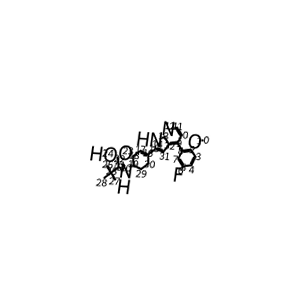 COc1ccc(F)cc1-c1ccnc2[nH]c(C3=CCC(N[C@H](C(=O)O)C(C)(C)C)CC3)cc12